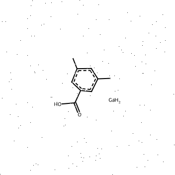 Cc1cc(C)cc(C(=O)O)c1.[GaH3]